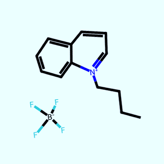 CCCC[n+]1cccc2ccccc21.F[B-](F)(F)F